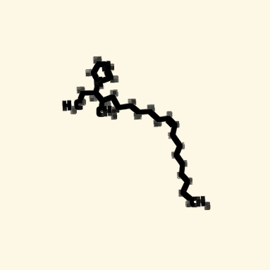 CCCCCCCC/C=C\CCCCCCC(C)C(CC)N1C=NCC1